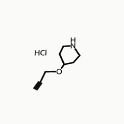 C#CCOC1CCNCC1.Cl